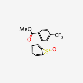 COC(=O)c1ccc(C(F)(F)F)cc1.[O-][S+]1c2ccccc21